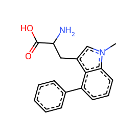 Cn1cc(CC(N)C(=O)O)c2c(-c3ccccc3)cccc21